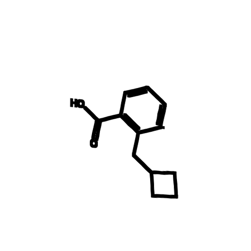 O=C(O)c1ccc[c]c1CC1CCC1